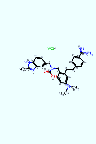 Cc1nc2cc(CN(Cc3ccc(N(C)C)cc3CCc3ccc(C(=N)N)cc3)C(=O)O)ccc2[nH]1.Cl